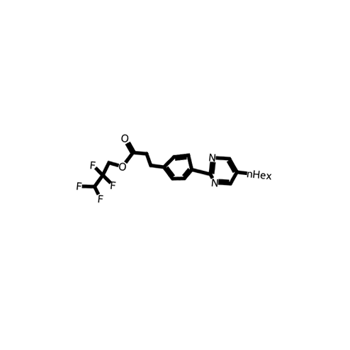 CCCCCCc1cnc(-c2ccc(CCC(=O)OCC(F)(F)C(F)F)cc2)nc1